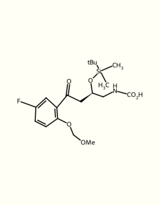 COCOc1ccc(F)cc1C(=O)C[C@H](CNC(=O)O)O[Si](C)(C)C(C)(C)C